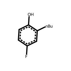 CCCCc1cc(F)ccc1O